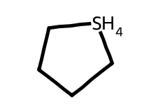 C1CC[SH4]C1